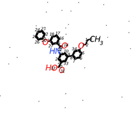 CCCOc1cccc(-c2cc(NC(=O)c3cccc(Oc4ccccc4)c3)cc(C(=O)O)c2)c1